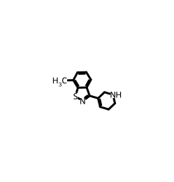 Cc1cccc2c(C3=CCCNC3)nsc12